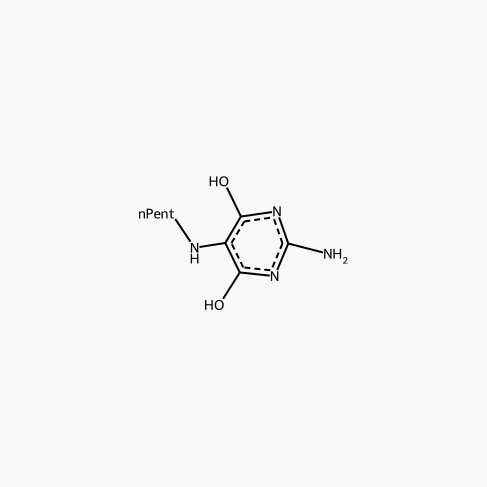 CCCCCNc1c(O)nc(N)nc1O